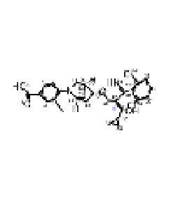 Cc1cc(C(=O)O)ccc1N1C[C@@H]2C[C@H]1C[C@H]2OC/C(C(=N)c1c(Cl)cccc1Cl)=C(/O)C1CC1